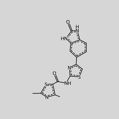 Cc1nc(C)c(C(=O)Nc2nc(-c3ccc4[nH]c(=O)[nH]c4c3)cs2)s1